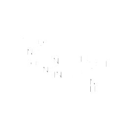 CC1(C)CNCc2cc(Nc3ncc4c(n3)OCN(C3CC3)C4=O)ccc21